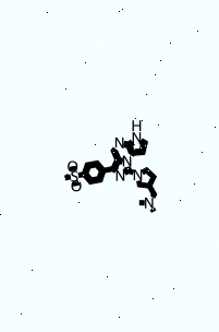 CN(C)CC1CCN(c2nc(-c3ccc(S(C)(=O)=O)cc3)c3cnc4[nH]ccc4n23)C1